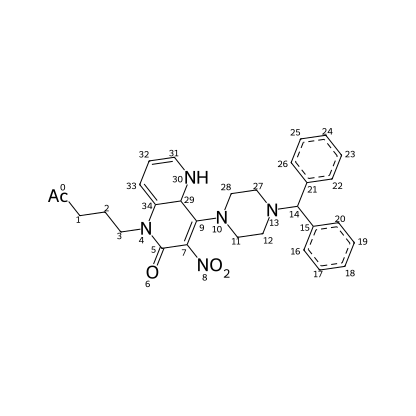 CC(=O)CCCN1C(=O)C([N+](=O)[O-])=C(N2CCN(C(c3ccccc3)c3ccccc3)CC2)C2NC=CC=C21